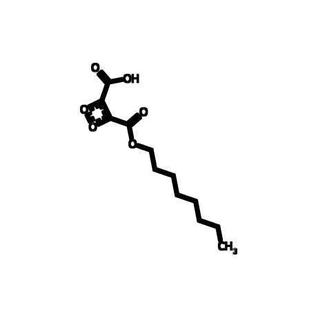 CCCCCCCCOC(=O)c1ooc1C(=O)O